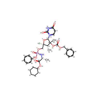 C[C@@H](NP(=O)(OC[C@@]1(F)O[C@@H](n2ccc(=O)[nH]c2=O)[C@](C)(OC(=O)OCc2ccccc2)[C@@H]1C)Oc1ccccc1)C(=O)OC1CCCCC1